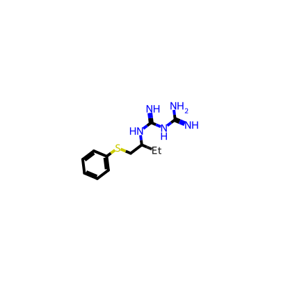 CCC(CSc1ccccc1)NC(=N)NC(=N)N